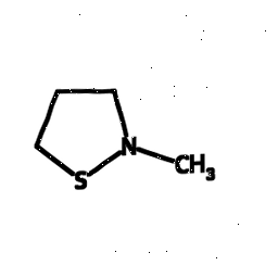 CN1CCCS1